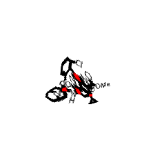 COC(=O)c1ccc(NC(=O)N2C3CCC2CC(OCc2c(-c4c(Cl)cccc4Cl)noc2C2CC2)C3)nc1